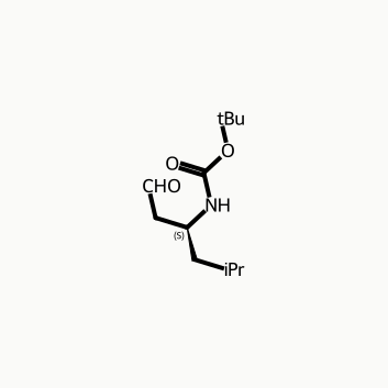 CC(C)C[C@@H](CC=O)NC(=O)OC(C)(C)C